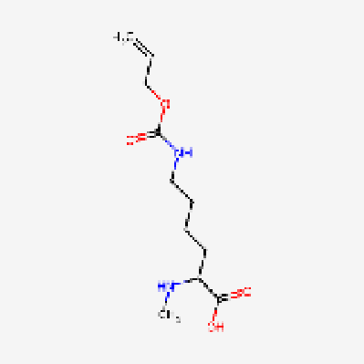 C=CCOC(=O)NCCCCC(NC)C(=O)O